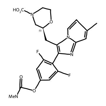 CNC(=O)Oc1cc(F)c(-c2nc3cc(C)ccn3c2C[C@H]2CN(C(=O)O)CCO2)c(F)c1